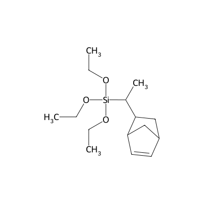 CCO[Si](OCC)(OCC)C(C)C1CC2C=CC1C2